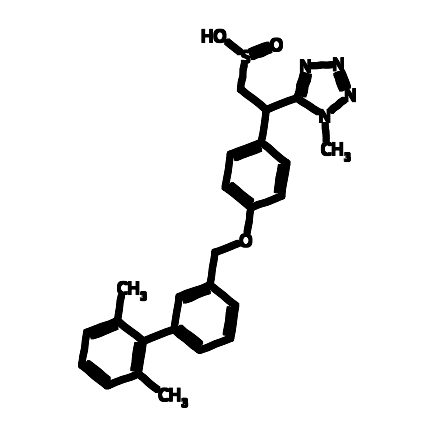 Cc1cccc(C)c1-c1cccc(COc2ccc(C(CS(=O)O)c3nnnn3C)cc2)c1